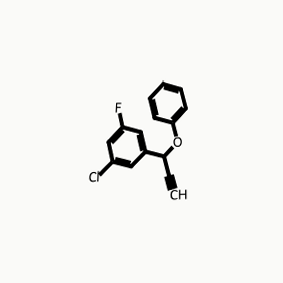 C#CC(Oc1cc[c]cc1)c1cc(F)cc(Cl)c1